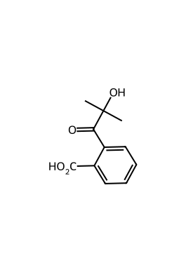 CC(C)(O)C(=O)c1ccccc1C(=O)O